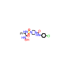 CC(C)[C@@H](NS(=O)(=O)N1CCN(C(=O)Nc2ccc(Cl)cc2)CC1)C(=O)NO